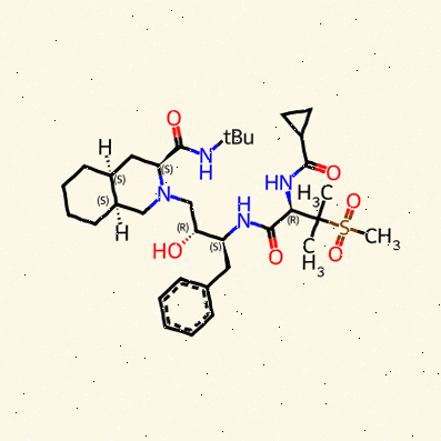 CC(C)(C)NC(=O)[C@@H]1C[C@@H]2CCCC[C@@H]2CN1C[C@@H](O)[C@H](Cc1ccccc1)NC(=O)[C@@H](NC(=O)C1CC1)C(C)(C)S(C)(=O)=O